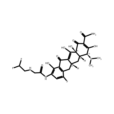 CN(C)[C@@H]1C(O)=C(C(N)=O)C(=O)[C@@]2(O)C(O)=C3C(=O)c4c(O)c(NC(=O)CNCC(F)F)cc(F)c4C[C@H]3C[C@@H]12